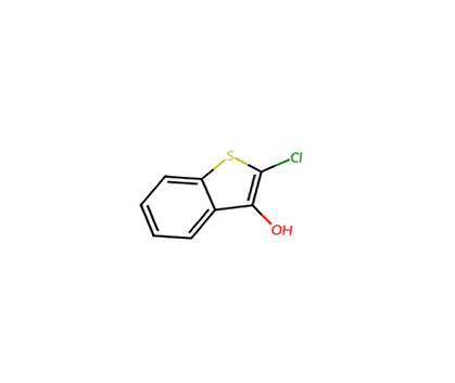 Oc1c(Cl)sc2ccccc12